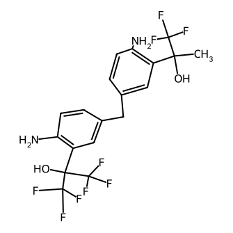 CC(O)(c1cc(Cc2ccc(N)c(C(O)(C(F)(F)F)C(F)(F)F)c2)ccc1N)C(F)(F)F